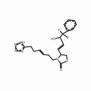 O=C1SCC(C=CC(O)C(F)(F)c2ccccc2)N1CCC=CCCc1nnn[nH]1